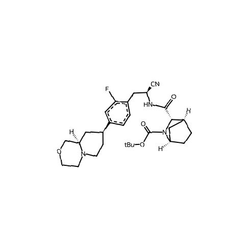 CC(C)(C)OC(=O)N1[C@@H]2CC[C@@H](C2)[C@H]1C(=O)N[C@H](C#N)Cc1ccc([C@H]2CCN3CCOC[C@H]3C2)cc1F